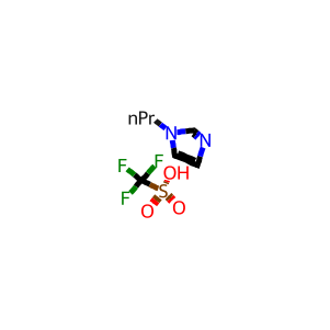 CCCn1ccnc1.O=S(=O)(O)C(F)(F)F